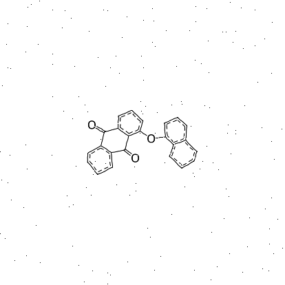 O=C1c2ccccc2C(=O)c2c(Oc3cccc4ccccc34)cccc21